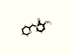 Nc1cccn(CC2CCCCO2)c1=O